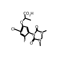 CC(Oc1cc(N2C(=O)N(C)CN(C)C2=O)c(F)cc1Cl)C(=O)O